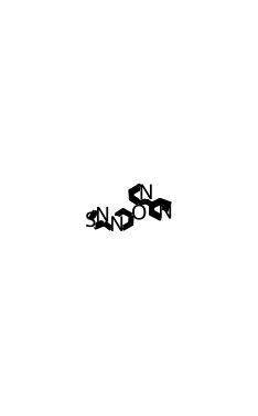 c1cnc(-c2ccncc2)c(OC2CCN(Cc3cscn3)CC2)c1